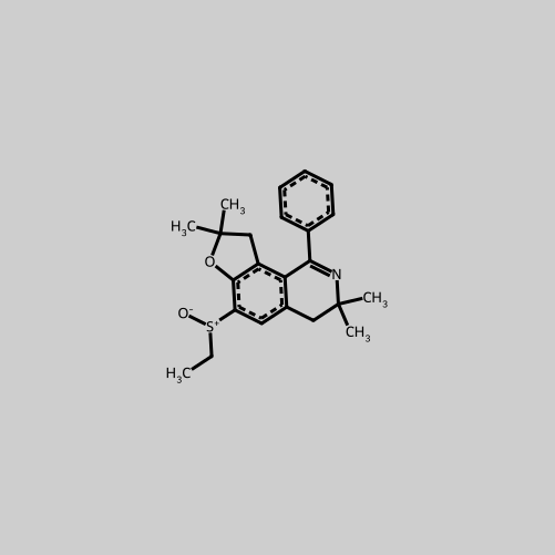 CC[S+]([O-])c1cc2c(c3c1OC(C)(C)C3)C(c1ccccc1)=NC(C)(C)C2